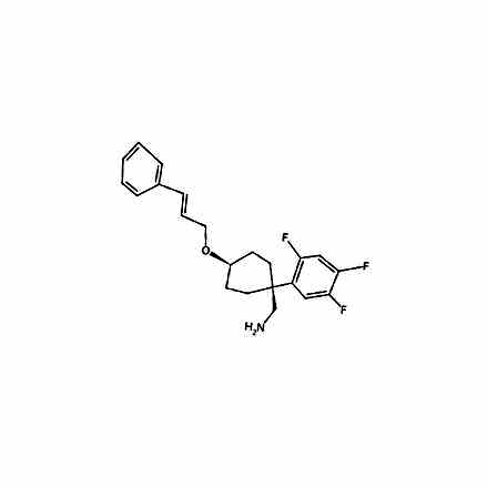 NC[C@]1(c2cc(F)c(F)cc2F)CC[C@H](OC/C=C/c2ccccc2)CC1